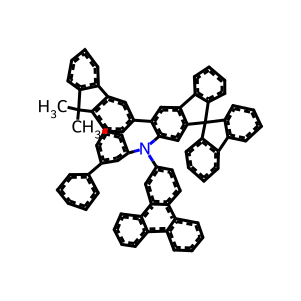 CC1(C)c2ccccc2-c2cc(-c3cc4c(cc3N(c3cccc(-c5ccccc5)c3)c3ccc5c6ccccc6c6ccccc6c5c3)C3(c5ccccc5-c5ccccc53)c3ccccc3-4)ccc21